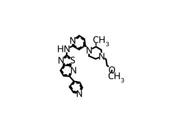 COCCN1CCN(c2ccnc(Nc3nc4ccc(-c5ccncc5)nc4s3)c2)[C@@H](C)C1